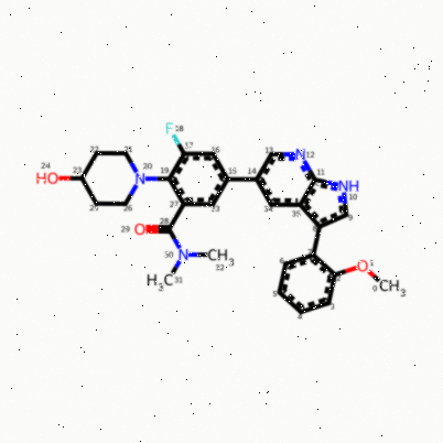 COc1ccccc1-c1c[nH]c2ncc(-c3cc(F)c(N4CCC(O)CC4)c(C(=O)N(C)C)c3)cc12